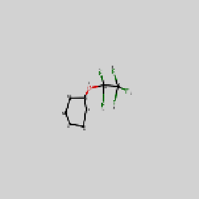 FC(F)(F)C(F)(F)OC1C[CH]CCC1